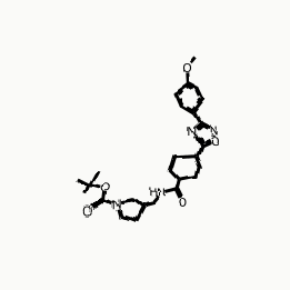 COc1ccc(-c2noc(C3CCC(C(=O)NCC4CCN(C(=O)OC(C)(C)C)C4)CC3)n2)cc1